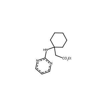 CCOC(=O)CC1(Nc2ncccn2)CCCCC1